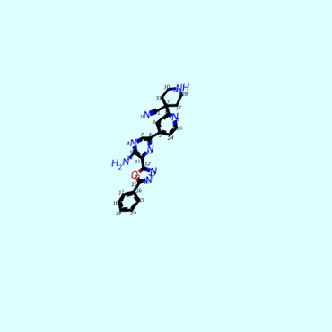 N#CC1(c2cc(-c3cnc(N)c(-c4nnc(-c5ccccc5)o4)n3)ccn2)CCNCC1